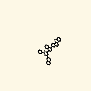 c1ccc(-c2nc(-c3ccc4ccccc4c3)nc(-c3ccc(-c4ccc5c(ccc6c7ccccc7oc56)c4)c4ccccc34)n2)cc1